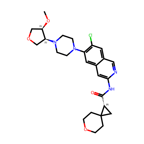 CO[C@@H]1COC[C@@H]1N1CCN(c2cc3cc(NC(=O)[C@@H]4CC45CCOCC5)ncc3cc2Cl)CC1